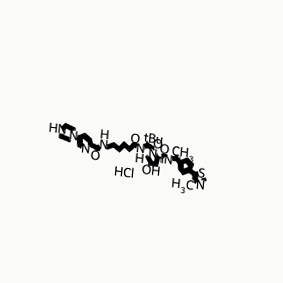 Cc1ncsc1-c1ccc([C@H](C)NC(=O)[C@@H]2C[C@@H](O)CN2C(=O)[C@@H](NC(=O)CCCCCNC(=O)c2ccc(N3CCNCC3)cn2)C(C)(C)C)cc1.Cl